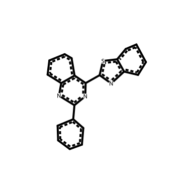 c1ccc(-c2nc(-c3nc4ccccc4s3)c3ccccc3n2)cc1